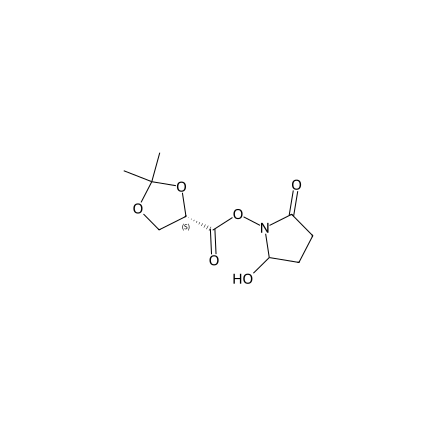 CC1(C)OC[C@@H](C(=O)ON2C(=O)CCC2O)O1